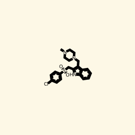 CN1CCN(Cc2c(CS(=O)(=O)c3ccc(Cl)cc3)[nH]c3ccccc23)CC1